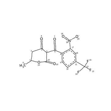 CC1CC(=O)C(C(=O)c2ccc(C(F)(F)F)cc2[N+](=O)[O-])C(=O)O1